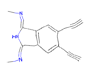 C#Cc1cc2c(cc1C#C)/C(=N/C)N/C2=N\C